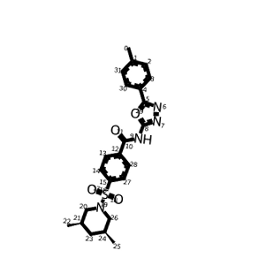 Cc1ccc(-c2nnc(NC(=O)c3ccc(S(=O)(=O)N4C[C@H](C)C[C@H](C)C4)cc3)o2)cc1